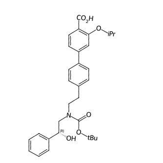 CC(C)Oc1cc(-c2ccc(CCN(C[C@H](O)c3ccccc3)C(=O)OC(C)(C)C)cc2)ccc1C(=O)O